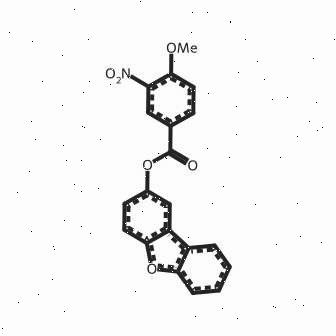 COc1ccc(C(=O)Oc2ccc3oc4ccccc4c3c2)cc1[N+](=O)[O-]